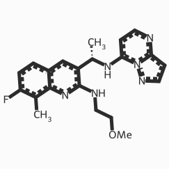 COCCNc1nc2c(C)c(F)ccc2cc1[C@H](C)Nc1ccnc2ccnn12